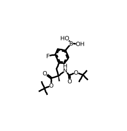 CC(C)(C)OC(=O)N[C@@](C)(Cc1ccc(B(O)O)cc1F)C(=O)OC(C)(C)C